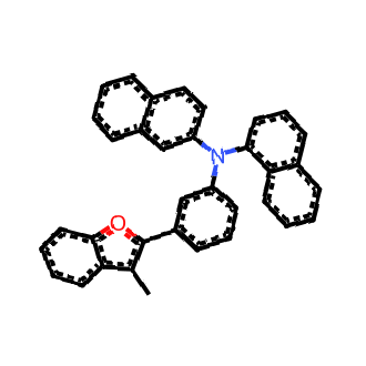 Cc1c(-c2cccc(N(c3ccc4ccccc4c3)c3cccc4ccccc34)c2)oc2ccccc12